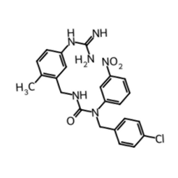 Cc1ccc(NC(=N)N)cc1CNC(=O)N(Cc1ccc(Cl)cc1)c1cccc([N+](=O)[O-])c1